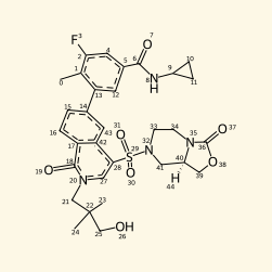 Cc1c(F)cc(C(=O)NC2CC2)cc1-c1ccc2c(=O)n(CC(C)(C)CO)cc(S(=O)(=O)N3CCN4C(=O)OC[C@H]4C3)c2c1